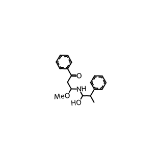 COC(CC(=O)c1ccccc1)NC(O)C(C)c1ccccc1